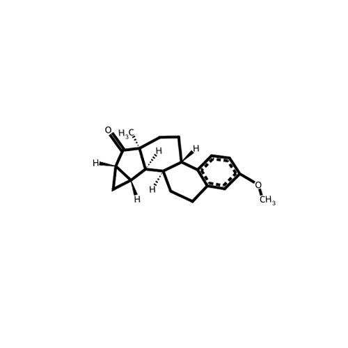 COc1ccc2c(c1)CC[C@H]1[C@H]3[C@@H]4C[C@@H]4C(=O)[C@@]3(C)CC[C@H]21